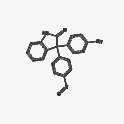 O=Nc1ccc(C2(c3ccc(O)cc3)C(=O)Nc3ccccc32)cc1